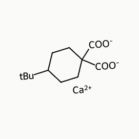 CC(C)(C)C1CCC(C(=O)[O-])(C(=O)[O-])CC1.[Ca+2]